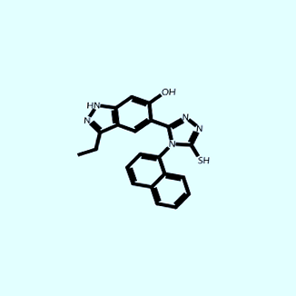 CCc1n[nH]c2cc(O)c(-c3nnc(S)n3-c3cccc4ccccc34)cc12